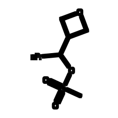 CCCC(OS(C)(=O)=O)C1COC1